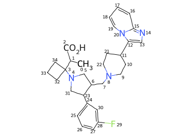 CC(C(=O)O)C1(N2CC(CN3CCC(c4cnc5ccccn45)CC3)C(c3cccc(F)c3)C2)CCC1